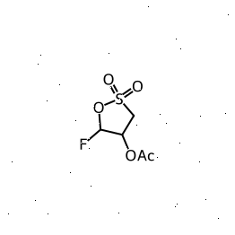 CC(=O)OC1CS(=O)(=O)OC1F